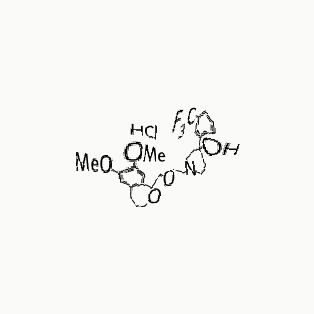 COc1cc2c(cc1OC)C(COCCN1CCC(O)(c3cccc(C(F)(F)F)c3)CC1)OCCC2.Cl